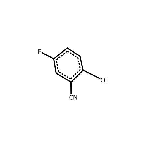 N#Cc1cc(F)ccc1O